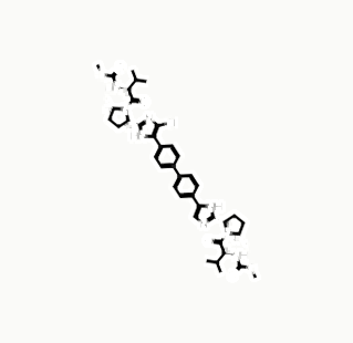 COC(=O)N[C@H](C(=O)N1[C@@H](C)CC[C@H]1c1ncc(-c2ccc(-c3ccc(-c4[nH]c([C@@H]5CC[C@H](C)N5C(=O)[C@@H](NC(=O)OC)C(C)C)nc4Cl)cc3)cc2)[nH]1)C(C)C